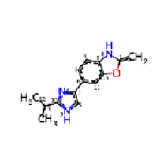 C=C1Nc2ccc(-c3c[nH]c(C(C)C)n3)cc2O1